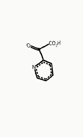 O=C(c1ccccn1)[13C](=O)O